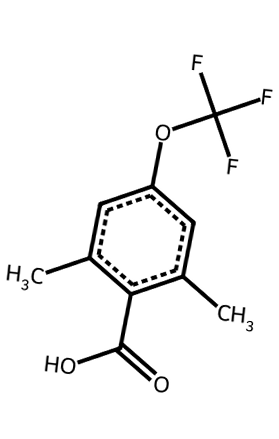 Cc1cc(OC(F)(F)F)cc(C)c1C(=O)O